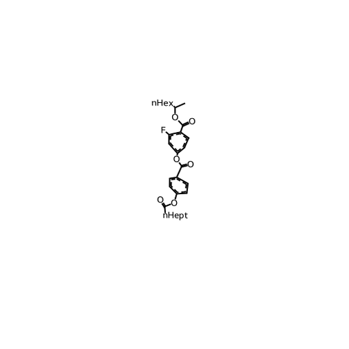 CCCCCCCC(=O)Oc1ccc(C(=O)Oc2ccc(C(=O)OC(C)CCCCCC)c(F)c2)cc1